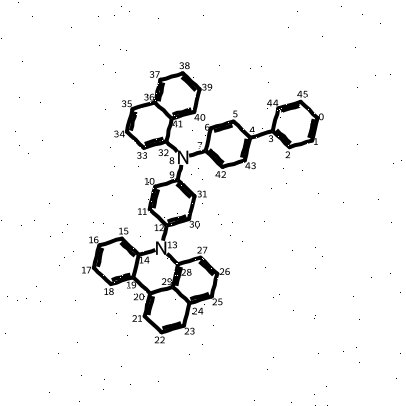 c1ccc(-c2ccc(N(c3ccc(N4c5ccccc5-c5cccc6cccc4c56)cc3)c3cccc4ccccc34)cc2)cc1